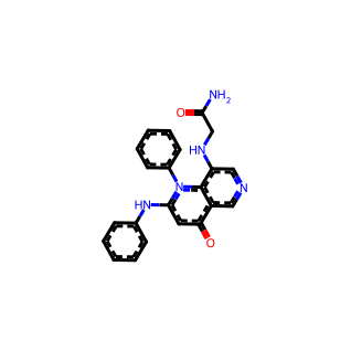 NC(=O)CNc1cncc2c(=O)cc(Nc3ccccc3)n(-c3ccccc3)c12